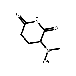 CCCN(C)C1CCC(=O)NC1=O